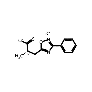 C[C@@H](Cc1nc(-c2ccccc2)no1)C([O-])=S.[K+]